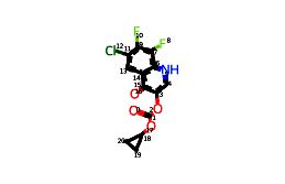 O=C(Oc1c[nH]c2c(F)c(F)c(Cl)cc2c1=O)OC1CC1